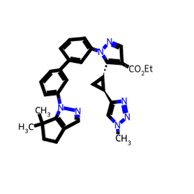 CCOC(=O)c1cnn(-c2cccc(-c3cccc(-n4ncc5c4C(C)(C)CC5)c3)c2)c1[C@H]1C[C@@H]1c1cn(C)nn1